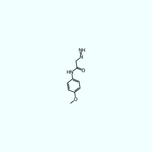 COc1ccc(NC(=O)CN=N)cc1